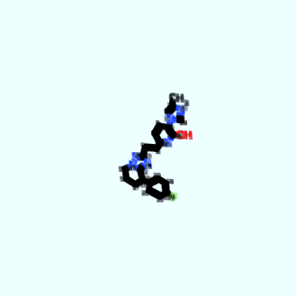 Cc1cn(-c2ccc(C=Cc3nc4n(n3)CCCC4c3ccc(F)cc3)nc2O)cn1